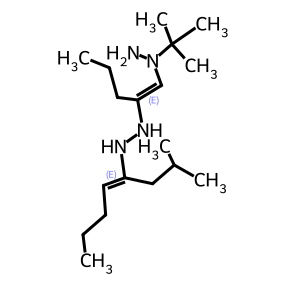 CCC/C=C(\CC(C)C)NN/C(=C/N(N)C(C)(C)C)CCC